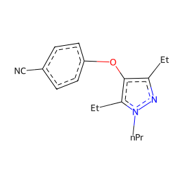 CCCn1nc(CC)c(Oc2ccc(C#N)cc2)c1CC